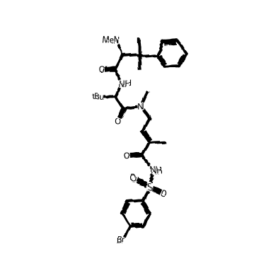 CN[C@H](C(=O)NC(C(=O)N(C)C/C=C(\C)C(=O)NS(=O)(=O)c1ccc(Br)cc1)C(C)(C)C)C(C)(C)c1ccccc1